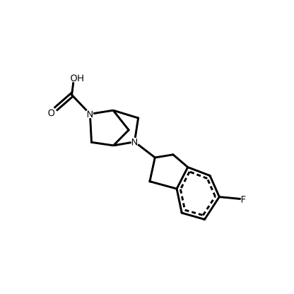 O=C(O)N1CC2CC1CN2C1Cc2ccc(F)cc2C1